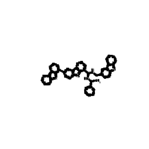 NC(NC(NCc1ccc2sc3ccccc3c2c1)c1cccc2c1sc1ccc(-c3cccc4c3sc3ccccc34)cc12)c1ccccc1